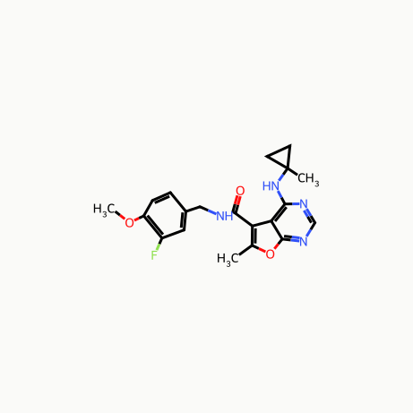 COc1ccc(CNC(=O)c2c(C)oc3ncnc(NC4(C)CC4)c23)cc1F